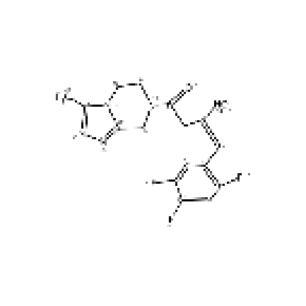 O=C(C/C(=C\c1cc(F)c(F)cc1F)[N+](=O)[O-])N1CCn2c(nnc2C(F)(F)F)C1